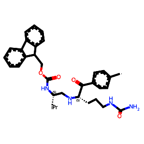 [CH2]c1ccc(C(=O)[C@H](CCCNC(N)=O)NC[C@@H](NC(=O)OCC2c3ccccc3-c3ccccc32)C(C)C)cc1